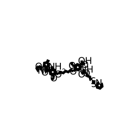 C=C1C[C@@H](C2NCCO2)N(C(=O)c2cc(OC)c(OCCCCCOc3cc(NC(=O)OCCCSSc4ccccn4)c(C(=O)O)cc3OC)cc2N)C1